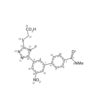 CNC(=O)c1ccc(-c2cc(-c3nnc(SCC(=O)O)n3C)cc([N+](=O)[O-])c2)cc1